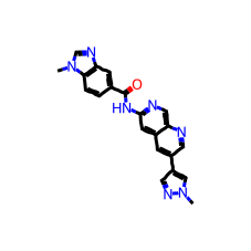 Cn1cc(-c2cnc3cnc(NC(=O)c4ccc5c(c4)ncn5C)cc3c2)cn1